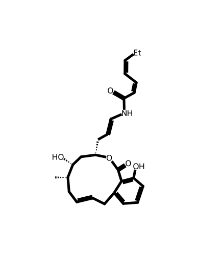 CC/C=C\C=C/C(=O)N/C=C/C[C@H]1C[C@@H](O)[C@@H](C)C/C=C/Cc2cccc(O)c2C(=O)O1